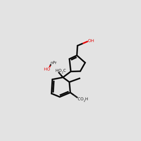 CC1C(C(=O)O)=CC=CC1(C(=O)O)C1C=C(CO)CC1.CCCO